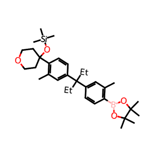 CCC(CC)(c1ccc(B2OC(C)(C)C(C)(C)O2)c(C)c1)c1ccc(C2(O[Si](C)(C)C)CCOCC2)c(C)c1